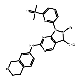 CC(C)N1C(C=O)c2cnc(Nc3ccc4c(c3)CNCC4)nc2N1c1cccc(P(C)(C)=O)n1